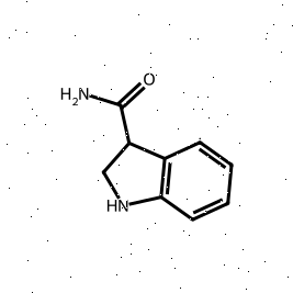 NC(=O)C1CNc2ccc[c]c21